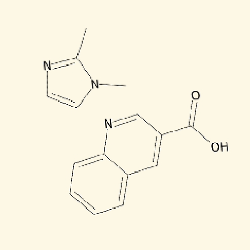 Cc1nccn1C.O=C(O)c1cnc2ccccc2c1